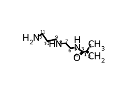 C=C(C)C(=O)NCCNCCCN